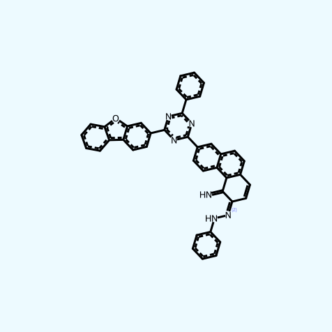 N=C1/C(=N\Nc2ccccc2)C=Cc2ccc3cc(-c4nc(-c5ccccc5)nc(-c5ccc6c(c5)oc5ccccc56)n4)ccc3c21